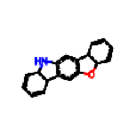 C1=CC2Nc3cc4c(cc3C2C=C1)OC1C=CC=CC41